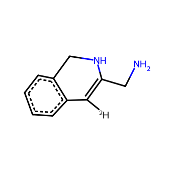 [2H]C1=C(CN)NCc2ccccc21